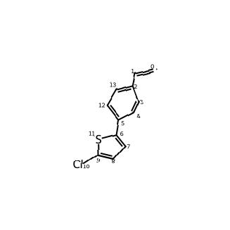 [CH]=Cc1ccc(-c2ccc(Cl)s2)cc1